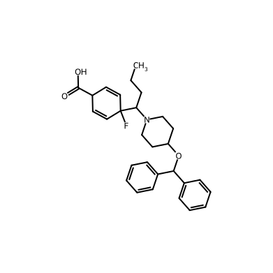 CCCC(N1CCC(OC(c2ccccc2)c2ccccc2)CC1)C1(F)C=CC(C(=O)O)C=C1